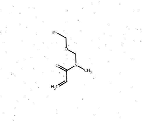 C=CC(=O)N(C)COCC(C)C